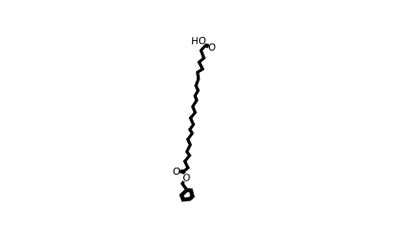 O=C(O)CCCCCCCCCCCCCCCCCCCCCCC(=O)OCc1ccccc1